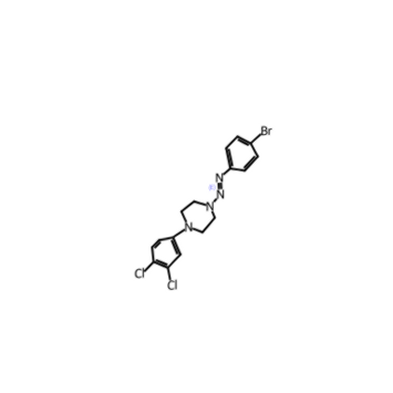 Clc1ccc(N2CCN(/N=N/c3ccc(Br)cc3)CC2)cc1Cl